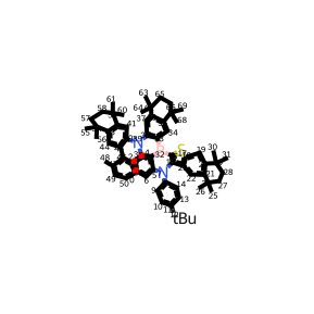 Cc1cc2c3c(c1)N(c1ccc(C(C)(C)C)cc1)c1c(sc4cc5c(cc14)C(C)(C)CCC5(C)C)B3c1cc3c(cc1N2c1cc2c(cc1-c1c(C)cccc1C)C(C)(C)CCC2(C)C)C(C)(C)CCC3(C)C